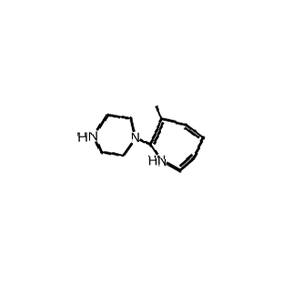 CC1=C(N2CCNCC2)NC=CC=C1